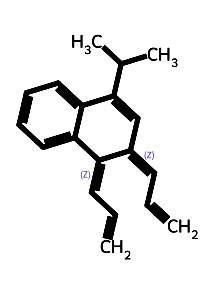 C=C/C=c1/cc(C(C)C)c2ccccc2/c1=C/C=C